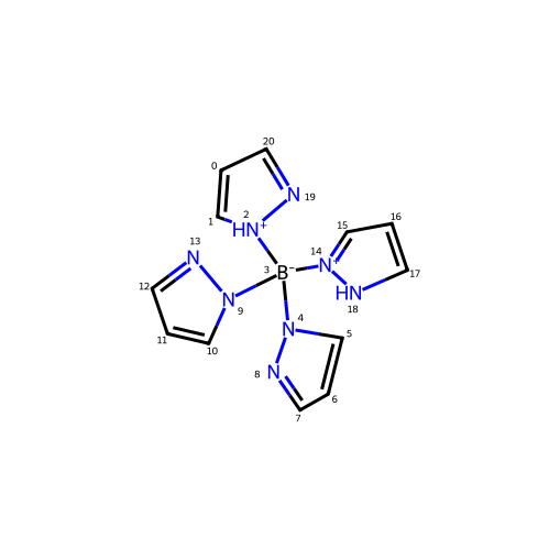 C1=C[NH+]([B-](n2cccn2)(n2cccn2)[n+]2ccc[nH]2)N=C1